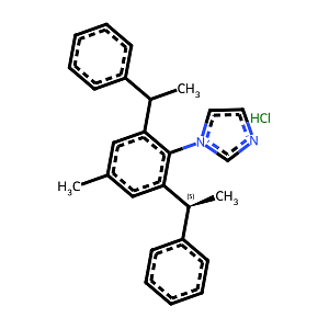 Cc1cc(C(C)c2ccccc2)c(-n2ccnc2)c([C@@H](C)c2ccccc2)c1.Cl